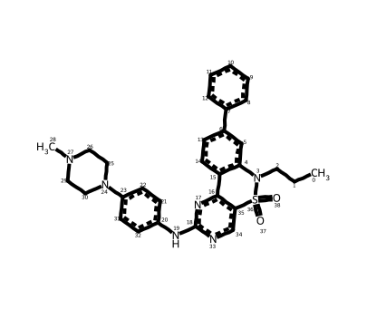 CCCN1c2cc(-c3ccccc3)ccc2-c2nc(Nc3ccc(N4CCN(C)CC4)cc3)ncc2S1(=O)=O